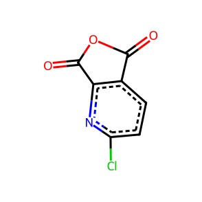 O=C1OC(=O)c2nc(Cl)ccc21